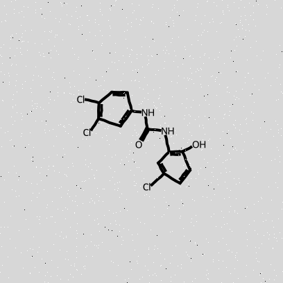 O=C(Nc1ccc(Cl)c(Cl)c1)Nc1cc(Cl)ccc1O